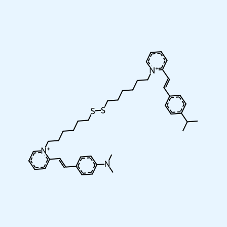 CC(C)c1ccc(/C=C/c2cccc[n+]2CCCCCCSSCCCCCC[n+]2ccccc2/C=C/c2ccc(N(C)C)cc2)cc1